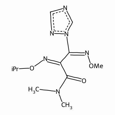 CON=C(C(=NOC(C)C)C(=O)N(C)C)n1cncn1